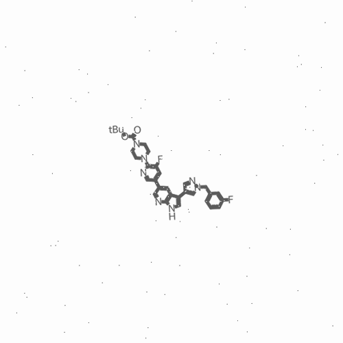 CC(C)(C)OC(=O)N1CCN(c2ncc(-c3cnc4[nH]cc(-c5cnn(Cc6cccc(F)c6)c5)c4c3)cc2F)CC1